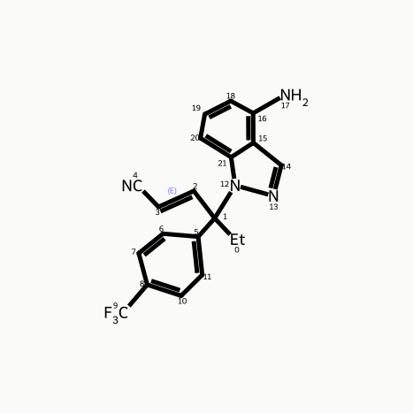 CCC(/C=C/C#N)(c1ccc(C(F)(F)F)cc1)n1ncc2c(N)cccc21